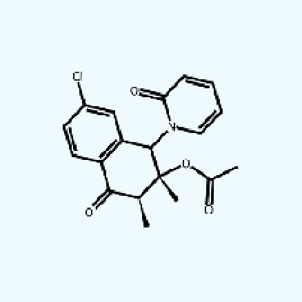 CC(=O)O[C@@]1(C)C(n2ccccc2=O)c2cc(Cl)ccc2C(=O)[C@@H]1C